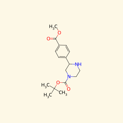 COC(=O)c1ccc(C2CN(C(=O)OC(C)(C)C)CCN2)cc1